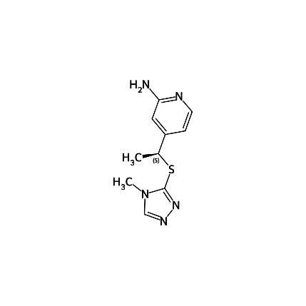 C[C@H](Sc1nncn1C)c1ccnc(N)c1